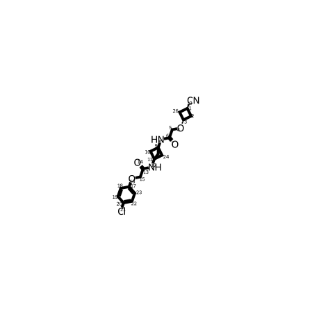 N#C[C@H]1C[C@H](OCC(=O)NC23CC(NC(=O)COc4ccc(Cl)cc4)(C2)C3)C1